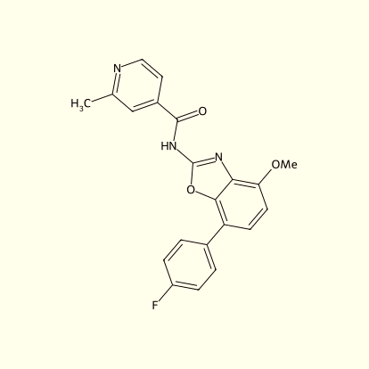 COc1ccc(-c2ccc(F)cc2)c2oc(NC(=O)c3ccnc(C)c3)nc12